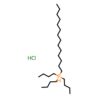 CCCCCCCCCCCCCC[PH](CCCC)(CCCC)CCCC.Cl